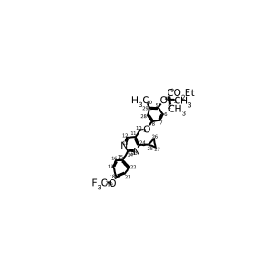 CCOC(=O)C(C)(C)Oc1ccc(OCc2cnc(-c3ccc(OC(F)(F)F)cc3)nc2C2CC2)cc1C